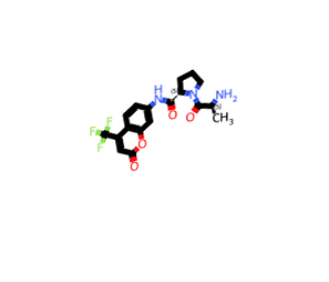 C[C@H](N)C(=O)N1CCC[C@H]1C(=O)Nc1ccc2c(C(F)(F)F)cc(=O)oc2c1